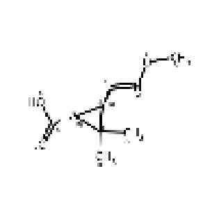 CON=C[C@@H]1[C@@H](C(=O)O)C1(C)C